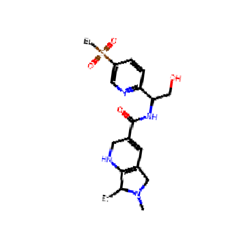 CCC1C2=C(C=C(C(=O)NC(CO)c3ccc(S(=O)(=O)CC)cn3)CN2)CN1C